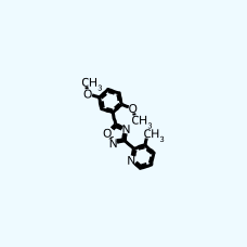 COc1ccc(OC)c(-c2nc(-c3ncccc3C)no2)c1